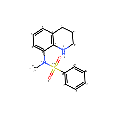 CN(c1cccc2c1NCCC2)S(=O)(=O)c1ccccc1